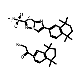 CC1(C)CCC(C)(C)c2cc(-c3cn4nc(S(N)(=O)=O)sc4n3)ccc21.CC1(C)CCC(C)(C)c2cc(C(=O)CBr)ccc21